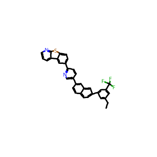 CCc1cc(-c2ccc3ccc(-c4ccc(-c5ccc6sc7ncccc7c6c5)nc4)cc3c2)cc(C(F)(F)F)c1